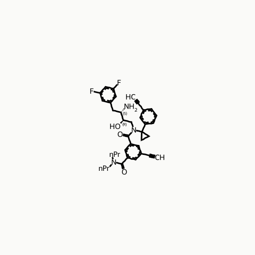 C#Cc1cc(C(=O)N(CCC)CCC)cc(C(=O)N(C[C@@H](O)[C@@H](N)Cc2cc(F)cc(F)c2)C2(c3cccc(C#C)c3)CC2)c1